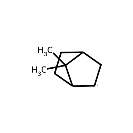 CC1(C)C2[CH]CC1CC2